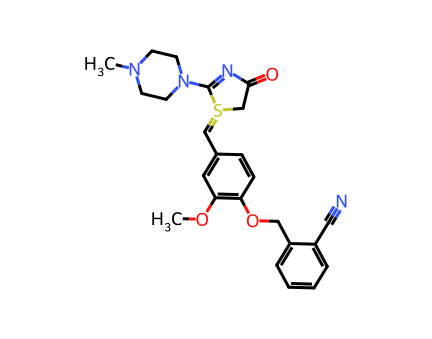 COc1cc(C=S2CC(=O)N=C2N2CCN(C)CC2)ccc1OCc1ccccc1C#N